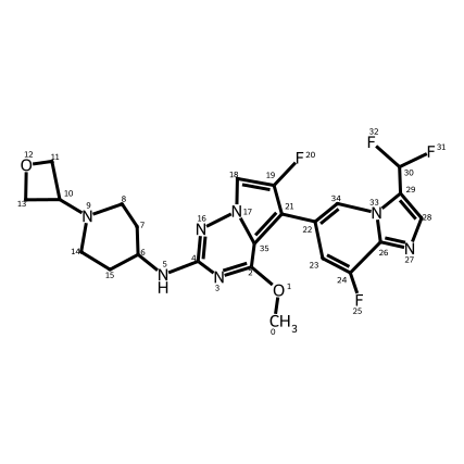 COc1nc(NC2CCN(C3COC3)CC2)nn2cc(F)c(-c3cc(F)c4ncc(C(F)F)n4c3)c12